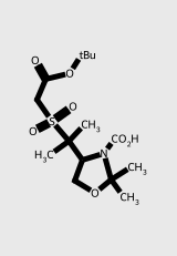 CC(C)(C)OC(=O)CS(=O)(=O)C(C)(C)C1COC(C)(C)N1C(=O)O